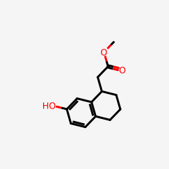 COC(=O)CC1CCCc2ccc(O)cc21